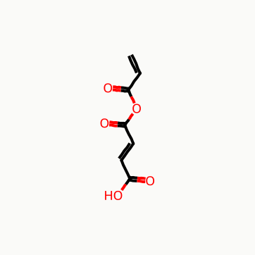 C=CC(=O)OC(=O)/C=C/C(=O)O